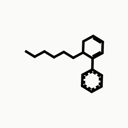 CCCCCCC1CC=CC=C1c1ccccc1